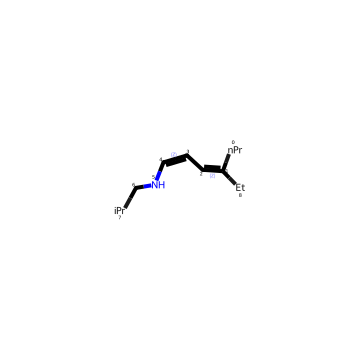 CCC/C(=C\C=C/NCC(C)C)CC